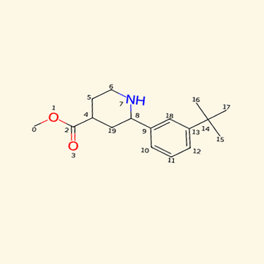 COC(=O)C1CCNC(c2cccc(C(C)(C)C)c2)C1